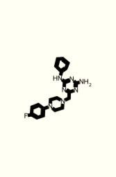 Nc1nc(CN2CCN(c3ccc(F)cc3)CC2)nc(Nc2ccccc2)n1